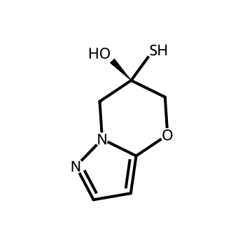 O[C@@]1(S)COc2ccnn2C1